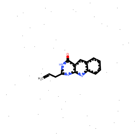 C=CCc1nc2nc3ccccc3cc2c(=O)[nH]1